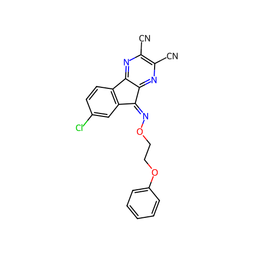 N#Cc1nc2c(nc1C#N)-c1ccc(Cl)cc1C2=NOCCOc1ccccc1